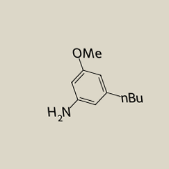 CCCCc1cc(N)cc(OC)c1